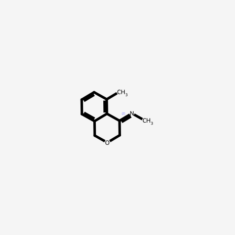 C/N=C1\COCc2cccc(C)c21